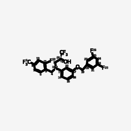 O[C@H](CN(Cc1ccc(C(F)(F)F)cc1F)c1cccc(OCc2cc(F)cc(F)c2)c1)C(F)(F)F